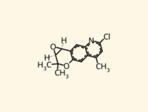 Cc1cc(Cl)nc2cc3c(cc12)OC(C)(C)[C@H]1O[C@@H]31